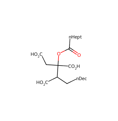 CCCCCCCCCCCC(C(=O)O)C(CC(=O)O)(OC(=O)CCCCCCC)C(=O)O